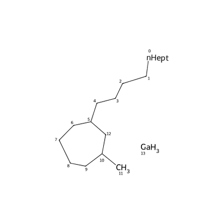 [CH2]CCCCCCCCCCC1CCCCC(C)C1.[GaH3]